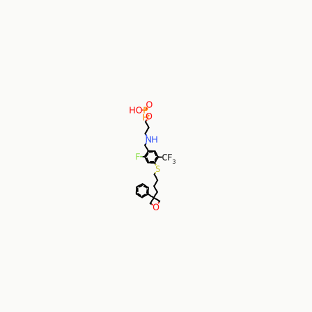 O=[PH](O)OCCCNCc1cc(C(F)(F)F)c(SCCCCC2(c3ccccc3)COC2)cc1F